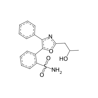 CC(O)Cc1nc(-c2ccccc2)c(-c2ccccc2S(N)(=O)=O)o1